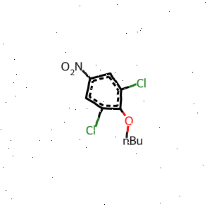 CCCCOc1c(Cl)cc([N+](=O)[O-])cc1Cl